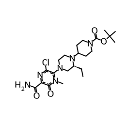 CC[C@H]1CN(c2c(Cl)nc(C(N)=O)c(=O)n2C)CCN1C1CCN(C(=O)OC(C)(C)C)CC1